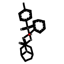 Cc1ccc(S(=O)(=O)NN=C2CC3CCC(C2)N3C(=O)OCc2ccccc2)cc1